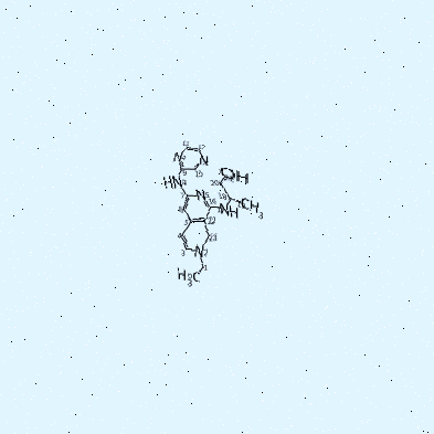 CCN1C=Cc2cc(Nc3cnccn3)nc(N[C@H](C)CO)c2C1